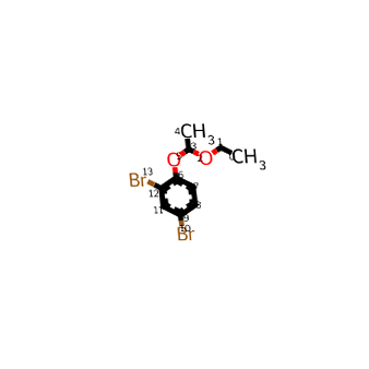 CCOC(C)Oc1ccc(Br)cc1Br